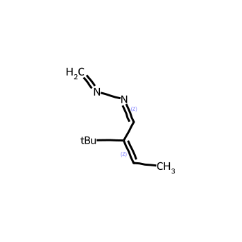 C=N/N=C\C(=C/C)C(C)(C)C